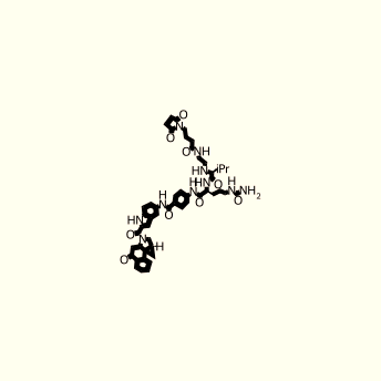 CC(C)[C@H](NCCNC(=O)CCCN1C(=O)C=CC1=O)C(=O)N[C@@H](CCCNC(N)=O)C(=O)Nc1ccc(C(=O)Nc2ccc3[nH]c(C(=O)N4C[C@H]5CC56C4=CC(=O)c4ccccc46)cc3c2)cc1